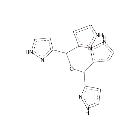 c1cc(C(OC(c2cc[nH]n2)c2cc[nH]n2)c2cc[nH]n2)n[nH]1